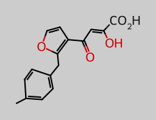 Cc1ccc(Cc2occc2C(=O)C=C(O)C(=O)O)cc1